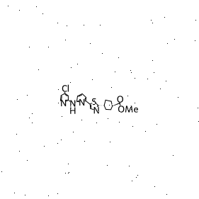 COC(=O)[C@H]1CC[C@H](c2ncc(-c3cccc(Nc4cc(Cl)ccn4)n3)s2)CC1